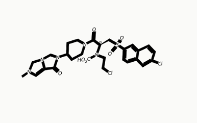 CN1C=C2C(=O)N(C3CCN(C(=O)[C@@H](CS(=O)(=O)c4ccc5cc(Cl)ccc5c4)N(CCCl)C(=O)O)CC3)CN2C1